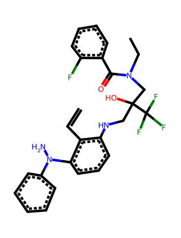 C=Cc1c(NCC(O)(CN(CC)C(=O)c2ccccc2F)C(F)(F)F)cccc1N(N)c1ccccc1